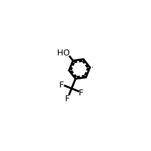 Oc1c[c]cc(C(F)(F)F)c1